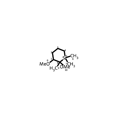 COC1CCC[Si](C)(C)C1(C)OC